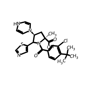 CC(C)(C)c1ccc(C(=O)N2C(c3cncs3)[C@@H](N3C=CNC=C3)C[C@@]2(C)C(=O)O)cc1Cl